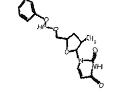 CC1CC(COPOc2ccccc2)OC1n1ccc(=O)[nH]c1=O